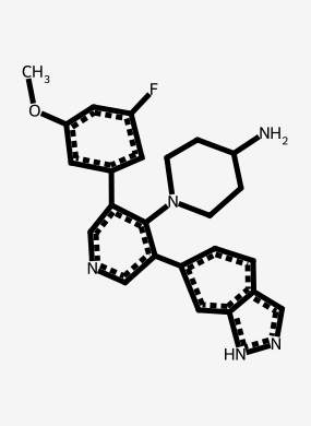 COc1cc(F)cc(-c2cncc(-c3ccc4cn[nH]c4c3)c2N2CCC(N)CC2)c1